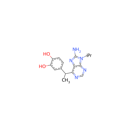 CC(c1ccc(O)c(O)c1)c1ncnc2c1nc(N)n2C(C)C